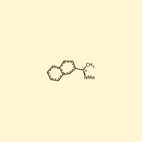 CN[C@H](C)c1ccc2ccccc2c1